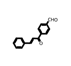 O=Cc1ccc(C(=O)/C=C/c2ccccc2)cc1